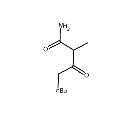 CCCCCC(=O)C(C)C(N)=O